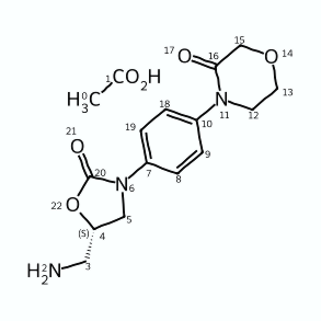 CC(=O)O.NC[C@H]1CN(c2ccc(N3CCOCC3=O)cc2)C(=O)O1